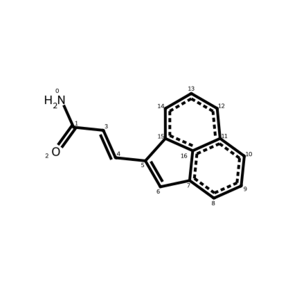 NC(=O)C=CC1=Cc2cccc3cccc1c23